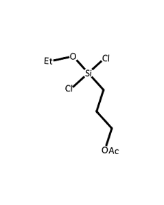 CCO[Si](Cl)(Cl)CCCOC(C)=O